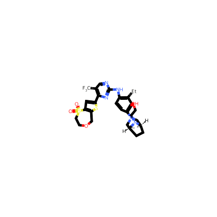 CCc1cc(N2C[C@H]3CC[C@@H](C2)N3CCO)ccc1Nc1ncc(C(F)(F)F)c(-c2cc3c(s2)COCCS3(=O)=O)n1